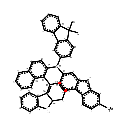 CC(C)(C)c1ccc2c(c1)sc1cc(N(c3ccc4c(c3)-c3ccccc3C4(C)C)c3ccc4ccccc4c3C3=C4c5ccccc5SC4CC=C3)ccc12